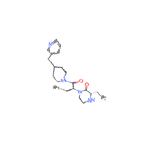 CC(C)C[C@@H]1NCCN([C@@H](CC(C)C)C(=O)N2CCC(Cc3cccnc3)CC2)C1=O